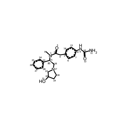 CN(C(=O)Cc1ccc(NC(N)=O)cc1)[C@@H](CN1CCC(O)C1)c1ccccc1